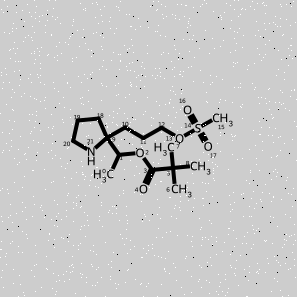 CC(OC(=O)C(C)(C)C)C1(CCCOS(C)(=O)=O)CCCN1